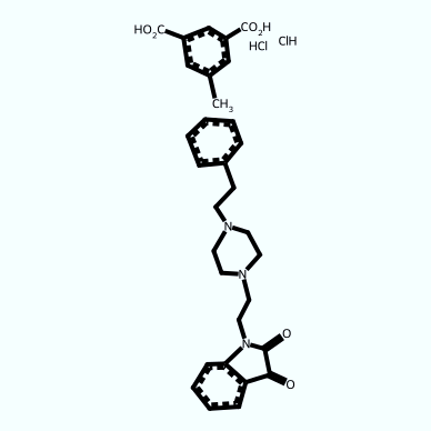 Cc1cc(C(=O)O)cc(C(=O)O)c1.Cl.Cl.O=C1C(=O)N(CCN2CCN(CCc3ccccc3)CC2)c2ccccc21